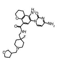 Nc1ccn(-c2cc(C(=O)NCC3(F)CCN(CC4CCOC4)CC3)c3c(c2N)CCCO3)c(=O)n1